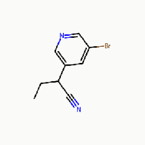 CCC(C#N)c1cncc(Br)c1